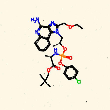 CCOCc1nc2c(N)nc3ccccc3c2n1C[C@@H](C)OP(=O)(N[C@@H](C)C(=O)OCC(C)(C)C)Oc1ccc(Cl)cc1